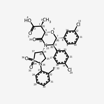 C[C@H](C(=O)O)[C@@H]1O[C@H](c2cccc(Cl)c2)[C@@H](c2ccc(Cl)cc2)N([C@@H]2CN(c3ccccc3F)S(=O)(=O)C2)C1=O